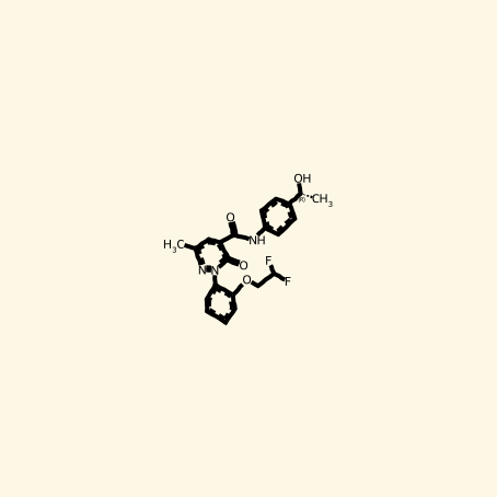 Cc1cc(C(=O)Nc2ccc([C@@H](C)O)cc2)c(=O)n(-c2ccccc2OCC(F)F)n1